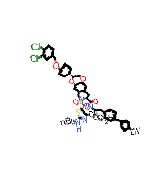 CCCCNc1nc(C)c(S(=O)(=O)N2Cc3cc4c(cc3CC2C(=O)N[C@@H](Cc2ccc(-c3ccc(C#N)cc3)cc2)C(=O)O)OC[C@H](c2ccc(OCc3ccc(Cl)c(Cl)c3)cc2)O4)s1